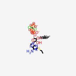 CCCSc1nc(N)c2ncn([C@@H]3O[C@H](COP(=O)([O-])OP(=O)([O-])C(Cl)(Cl)P(=O)([O-])[O-])[C@@H](O)[C@H]3O)c2n1.[Na+].[Na+].[Na+].[Na+]